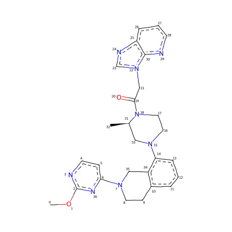 COc1nccc(N2CCc3cccc(N4CCN(C(=O)Cn5cnc6cccnc65)[C@H](C)C4)c3C2)n1